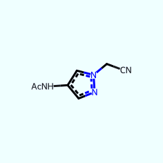 CC(=O)Nc1cnn(CC#N)c1